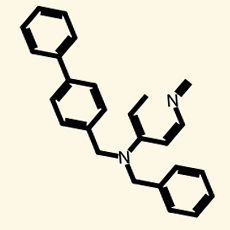 C=N/C=C\C(=C/C)N(Cc1ccccc1)Cc1ccc(-c2ccccc2)cc1